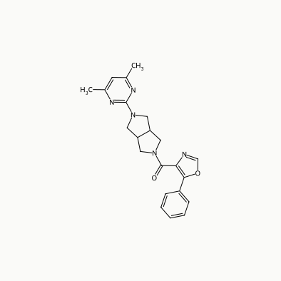 Cc1cc(C)nc(N2CC3CN(C(=O)c4ncoc4-c4ccccc4)CC3C2)n1